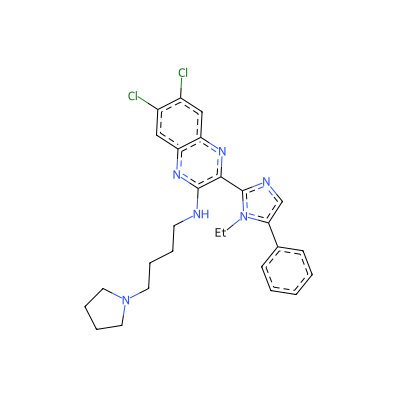 CCn1c(-c2ccccc2)cnc1-c1nc2cc(Cl)c(Cl)cc2nc1NCCCCN1CCCC1